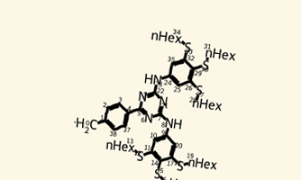 [CH2]c1ccc(-c2nc(Nc3cc(SCCCCCC)c(SCCCCCC)c(SCCCCCC)c3)nc(Nc3cc(SCCCCCC)c(SCCCCCC)c(SCCCCCC)c3)n2)cc1